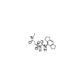 CCN(C)C(=O)CCS(=O)(=O)NC(=O)Nc1c2c(cc3c1CCC3)CCC2